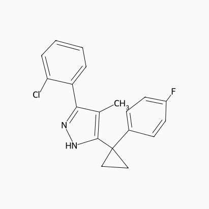 Cc1c(-c2ccccc2Cl)n[nH]c1C1(c2ccc(F)cc2)CC1